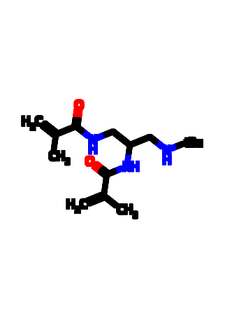 C=C(C)C(=O)NCC(CNC(C)(C)C)NC(=O)C(=C)C